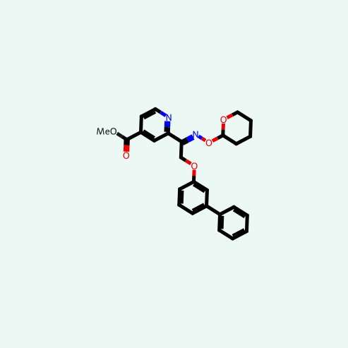 COC(=O)c1ccnc(/C(COc2cccc(-c3ccccc3)c2)=N/OC2CCCCO2)c1